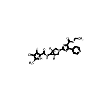 CCOC(=O)c1sc(N2C[C@@H]3C(NC(=O)c4[nH]c(C)c(Cl)c4Cl)[C@@H]3C2)nc1-c1ccncc1